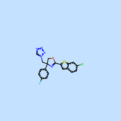 Fc1ccc(C2(Cn3cnnn3)COC(c3cc4ccc(Cl)cc4s3)=N2)cc1